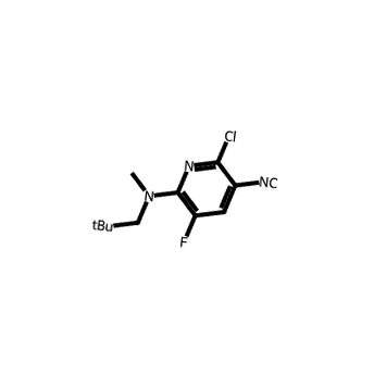 [C-]#[N+]c1cc(F)c(N(C)CC(C)(C)C)nc1Cl